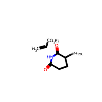 C=CC(=O)OCC.CCCCCCC1CCC(=O)NC1=O